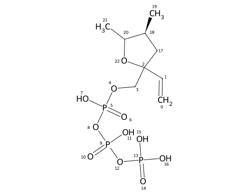 C=CC1(COP(=O)(O)OP(=O)(O)OP(=O)(O)O)C[C@H](C)C(C)O1